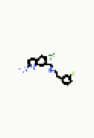 Cl.Cl.Nc1ccc2ccc(CNCCc3cccc(F)c3)cc2n1